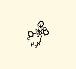 NCCCC1(c2ccccc2)SC(c2cccc(F)c2)=NN1C(=O)c1ccccn1